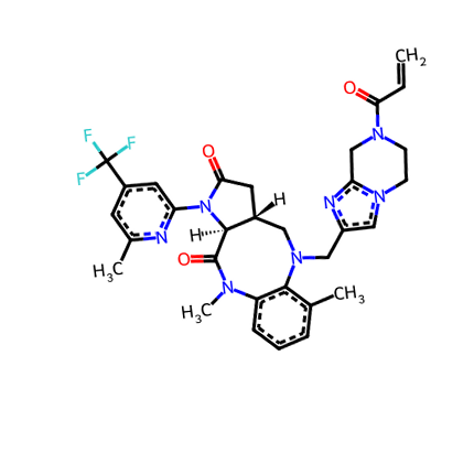 C=CC(=O)N1CCn2cc(CN3C[C@H]4CC(=O)N(c5cc(C(F)(F)F)cc(C)n5)[C@@H]4C(=O)N(C)c4cccc(C)c43)nc2C1